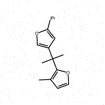 Cc1ccoc1C(C)(C)c1coc(C(C)C)c1